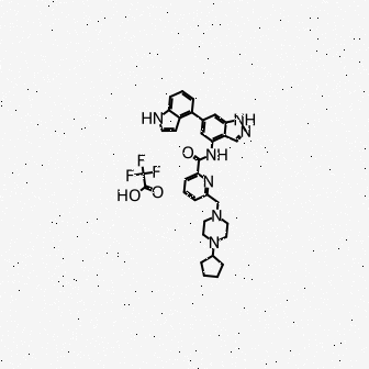 O=C(Nc1cc(-c2cccc3[nH]ccc23)cc2[nH]ncc12)c1cccc(CN2CCN(C3CCCC3)CC2)n1.O=C(O)C(F)(F)F